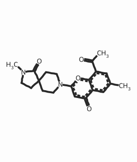 CC(=O)c1cc(C)cc2c(=O)cc(N3CCC4(CCN(C)C4=O)CC3)oc12